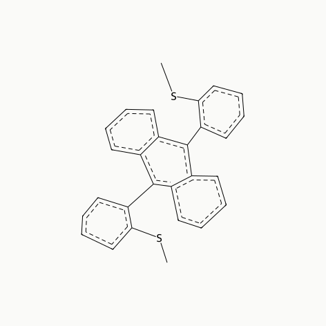 CSc1ccccc1-c1c2ccccc2c(-c2ccccc2SC)c2ccccc12